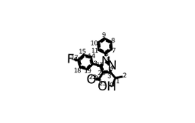 CC(C)c1nn(-c2ccccc2)c(-c2ccc(F)cc2)c1C(=O)O